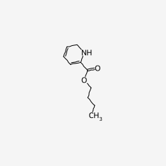 CCCCOC(=O)C1=CC=CCN1